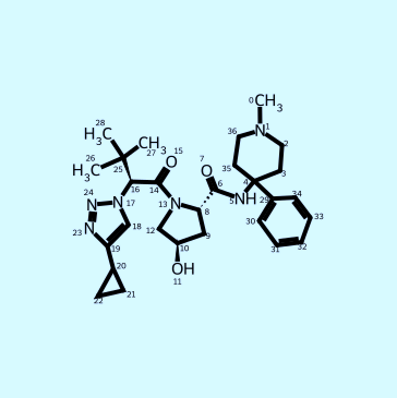 CN1CCC(NC(=O)[C@@H]2C[C@@H](O)CN2C(=O)[C@@H](n2cc(C3CC3)nn2)C(C)(C)C)(c2ccccc2)CC1